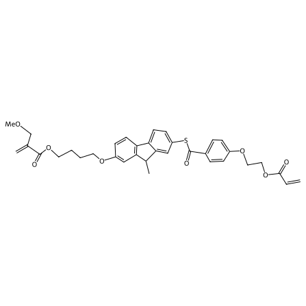 C=CC(=O)OCCOc1ccc(C(=O)Sc2ccc3c(c2)C(C)c2cc(OCCCCOC(=O)C(=C)COC)ccc2-3)cc1